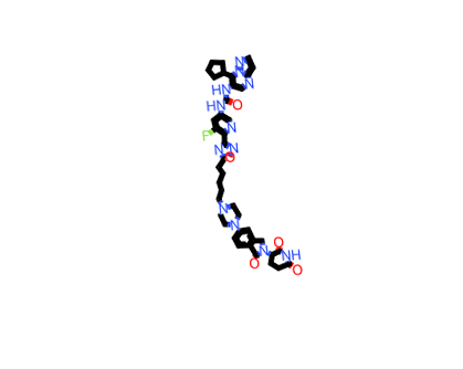 O=C1CCC(N2Cc3cc(N4CCN(CCCCCc5nc(-c6ncc(NC(=O)Nc7cnc8ccnn8c7C7CCCC7)cc6F)no5)CC4)ccc3C2=O)C(=O)N1